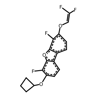 FC(F)=COc1ccc2c(oc3c(F)c(OC4CCC4)ccc32)c1F